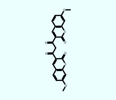 COc1ccc2cc(C(=O)CC(=O)c3cc4ccc(OC)cc4sc3=O)c(=O)sc2c1